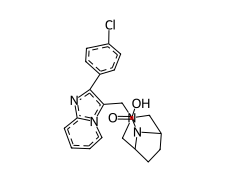 O=C(O)N1C2CCC1CN(Cc1c(-c3ccc(Cl)cc3)nc3ccccn13)C2